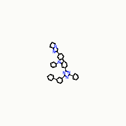 c1ccc(-c2cccc(-c3nc(-c4ccccc4)nc(-c4ccc5c6ccc(-c7cn8ccccc8n7)cc6n(-c6ccccc6)c5c4)n3)c2)cc1